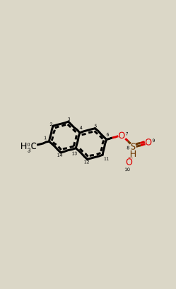 Cc1ccc2cc(O[SH](=O)=O)ccc2c1